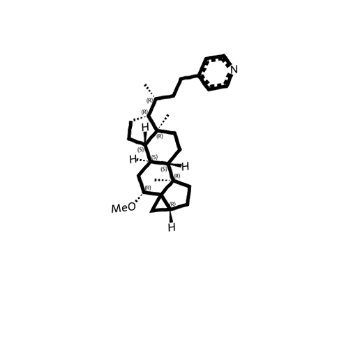 CO[C@@H]1C[C@H]2[C@@H]3CC[C@H]([C@H](C)CCc4ccncc4)[C@@]3(C)CC[C@@H]2[C@@]2(C)CC[C@@H]3CC312